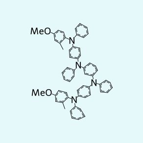 COc1ccc(N(c2ccccc2)c2ccc(N(c3ccccc3)c3cccc(N(c4ccccc4)c4ccc(N(c5ccccc5)c5ccc(OC)cc5C)cc4)c3)cc2)c(C)c1